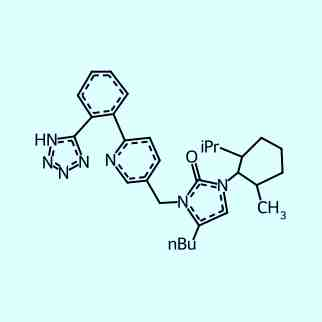 CCCCc1cn(C2C(C)CCCC2C(C)C)c(=O)n1Cc1ccc(-c2ccccc2-c2nnn[nH]2)nc1